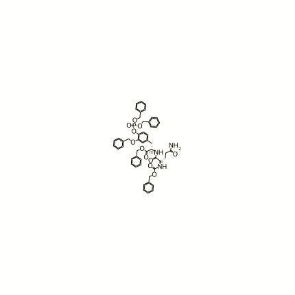 NC(=O)CC[C@H](NC(=O)OCc1ccccc1)C(=O)N[C@@H](Cc1ccc(OP(=O)(OCc2ccccc2)OCc2ccccc2)c(OCc2ccccc2)c1)C(=O)OCc1ccccc1